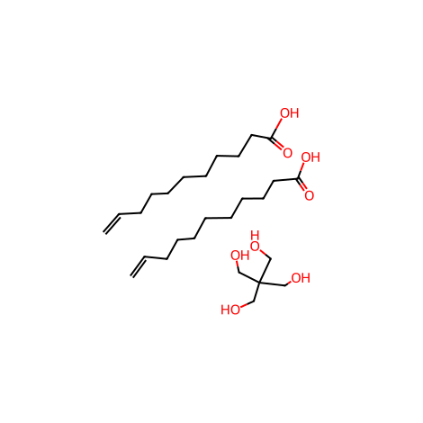 C=CCCCCCCCCC(=O)O.C=CCCCCCCCCC(=O)O.OCC(CO)(CO)CO